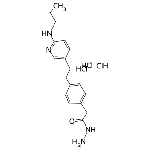 CCCNc1ccc(CCc2ccc(CC(=O)NN)cc2)cn1.Cl.Cl.Cl